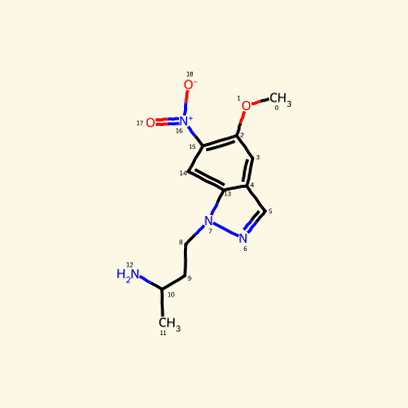 COc1cc2cnn(CCC(C)N)c2cc1[N+](=O)[O-]